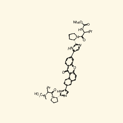 COC(=O)NC(C(=O)N1CCC[C@H]1c1ncc(-c2ccc3c(=O)c4c(ccc5cc(-c6cnc([C@@H]7CCCN7C(=O)C(C(C)C)N(C)C(=O)O)[nH]6)ccc54)oc3c2)[nH]1)C(C)C